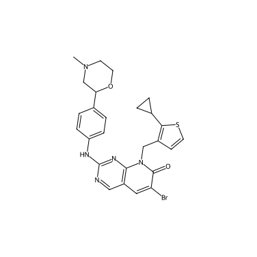 CN1CCOC(c2ccc(Nc3ncc4cc(Br)c(=O)n(Cc5ccsc5C5CC5)c4n3)cc2)C1